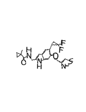 CC1(C(=O)NCc2cc3cc(C4CC4(F)F)c(OCc4cscn4)cc3[nH]2)CC1